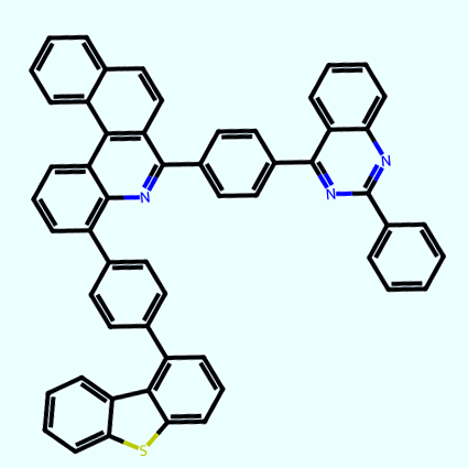 c1ccc(-c2nc(-c3ccc(-c4nc5c(-c6ccc(-c7cccc8sc9ccccc9c78)cc6)cccc5c5c4ccc4ccccc45)cc3)c3ccccc3n2)cc1